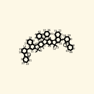 CC1(C)c2cc3c(cc2-c2c1cc(-c1cccc4c1oc1ccccc14)c1ccccc21)C(c1ccccc1)(c1ccccc1)c1cc2c(cc1-3)C(C)(C)c1cc(-c3cccc4c3oc3ccccc34)c3ccccc3c1-2